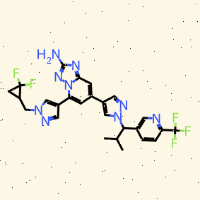 CC(C)C(c1ccc(C(F)(F)F)nc1)n1cc(-c2cc(-c3cnn(CC4CC4(F)F)c3)n3nc(N)nc3c2)cn1